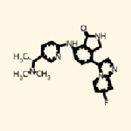 C[C@H](c1ccc(Nc2ccc(-c3cnc4cc(F)ccn34)c3c2C(=O)NC3)nc1)N(C)C